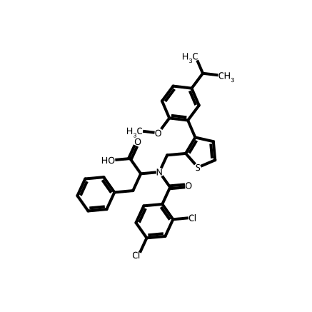 COc1ccc(C(C)C)cc1-c1ccsc1CN(C(=O)c1ccc(Cl)cc1Cl)C(Cc1ccccc1)C(=O)O